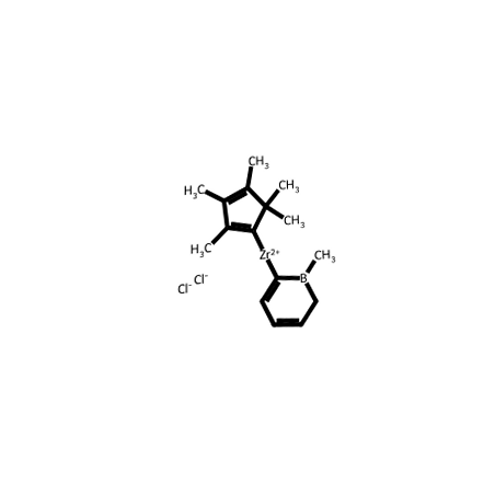 CB1CC=CC=[C]1[Zr+2][C]1=C(C)C(C)=C(C)C1(C)C.[Cl-].[Cl-]